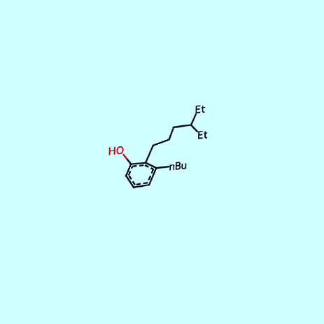 CCCCc1cccc(O)c1CCCC(CC)CC